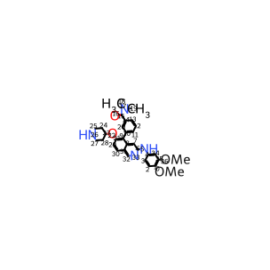 COc1ccc(Nc2cc3c(-c4cccc(C(=O)N(C)C)c4)c(OC4CCNCC4)ccc3cn2)cc1OC